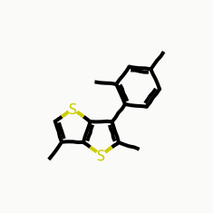 Cc1ccc(-c2c(C)sc3c(C)csc23)c(C)c1